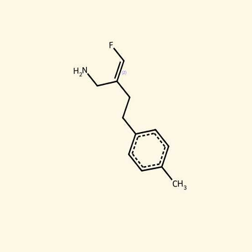 Cc1ccc(CC/C(=C/F)CN)cc1